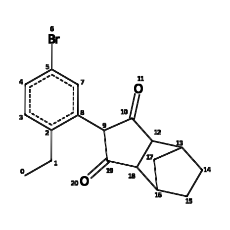 CCc1ccc(Br)cc1C1C(=O)C2C3CCC(C3)C2C1=O